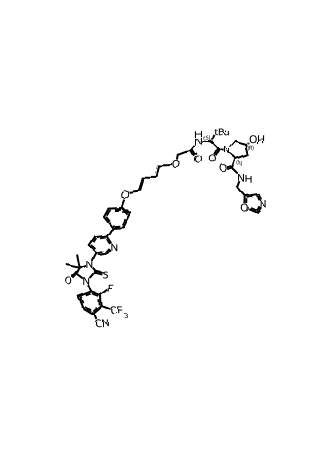 CC(C)(C)[C@H](NC(=O)COCCCCOc1ccc(-c2ccc(N3C(=S)N(c4ccc(C#N)c(C(F)(F)F)c4F)C(=O)C3(C)C)cn2)cc1)C(=O)N1C[C@H](O)C[C@H]1C(=O)NCc1cnco1